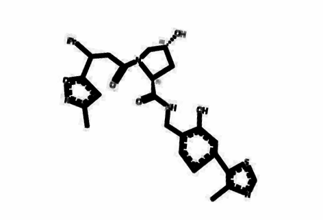 Cc1cc(C(CC(=O)N2C[C@H](O)C[C@H]2C(=O)NCc2ccc(-c3scnc3C)cc2O)C(C)C)on1